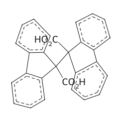 O=C(O)C1(C2(C(=O)O)c3ccccc3-c3ccccc32)c2ccccc2-c2ccccc21